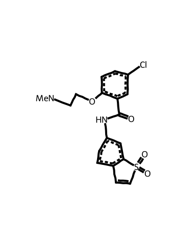 CNCCOc1ccc(Cl)cc1C(=O)Nc1ccc2c(c1)S(=O)(=O)C=C2